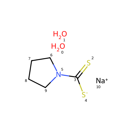 O.O.S=C([S-])N1CCCC1.[Na+]